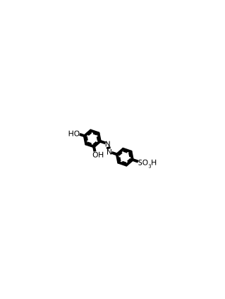 O=S(=O)(O)c1ccc(N=Nc2ccc(O)cc2O)cc1